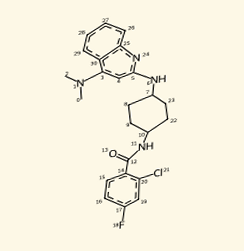 CN(C)c1cc(NC2CCC(NC(=O)c3ccc(F)cc3Cl)CC2)nc2ccccc12